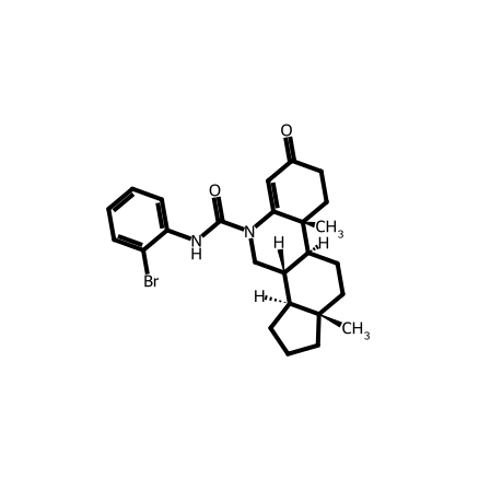 C[C@@]12CCC[C@H]1[C@@H]1CN(C(=O)Nc3ccccc3Br)C3=CC(=O)CC[C@]3(C)[C@H]1CC2